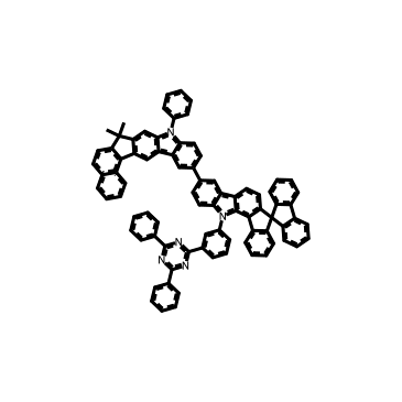 CC1(C)c2cc3c(cc2-c2c1ccc1ccccc21)c1cc(-c2ccc4c(c2)c2ccc5c(c2n4-c2cccc(-c4nc(-c6ccccc6)nc(-c6ccccc6)n4)c2)-c2ccccc2C52c4ccccc4-c4ccccc42)ccc1n3-c1ccccc1